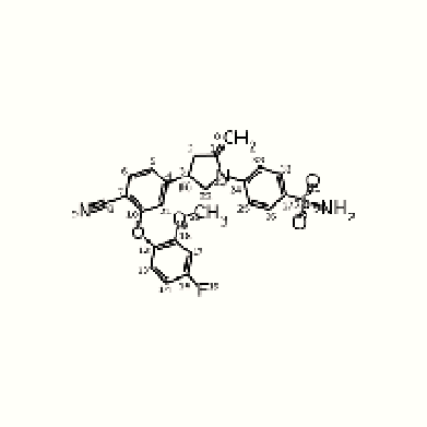 C=C1C[C@H](c2ccc(C#N)c(Oc3ccc(F)cc3OC)c2)CN1c1ccc(S(N)(=O)=O)cc1